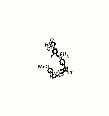 COC1CCN(c2nccc(Nc3cc4c(cn3)c(N3CCC(N(C)Cc5ccc(N6CCC(=O)NC6=O)cc5F)CC3)nn4C(C)C)n2)CC1